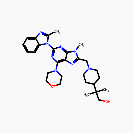 Cc1nc2ccccc2n1-c1nc(N2CCOCC2)c2nc(CN3CCC(C(C)(C)CO)CC3)n(C)c2n1